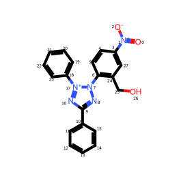 O=[N+]([O-])c1ccc(-n2nc(-c3ccccc3)n[n+]2-c2ccccc2)c(CO)c1